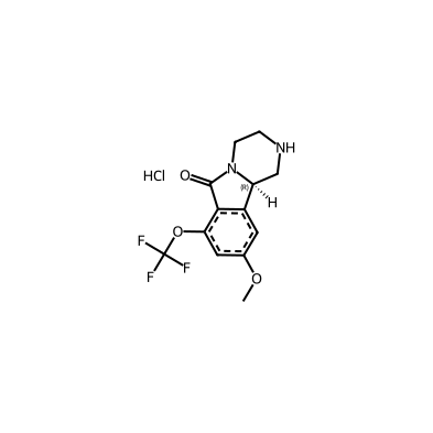 COc1cc(OC(F)(F)F)c2c(c1)[C@@H]1CNCCN1C2=O.Cl